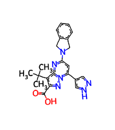 CC(C)(C)c1c(C(=O)O)nn2c(-c3cn[nH]c3)cc(N3Cc4ccccc4C3)nc12